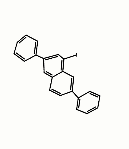 Ic1cc(-c2ccccc2)cc2ccc(-c3ccccc3)cc12